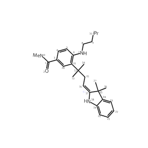 CNC(=O)c1ccc(NCCC(C)C)c(C(C)(C)C/C=C2/Nc3ccccc3C2(C)C)c1